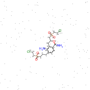 NC(=O)c1ccc(CCCS(=O)(=O)CCCl)c(N)c1CCCS(=O)(=O)CCCl